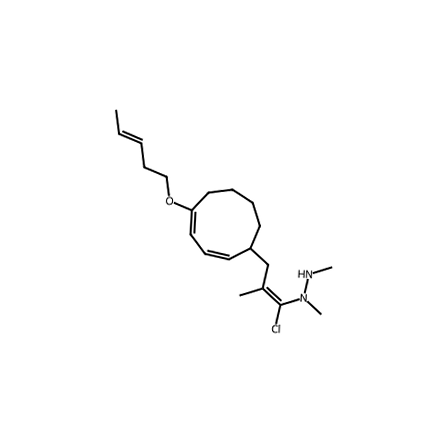 CC=CCCO/C1=C/C=CC(C/C(C)=C(/Cl)N(C)NC)CCCC1